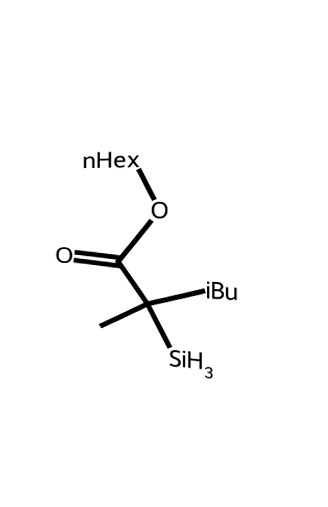 CCCCCCOC(=O)C(C)([SiH3])C(C)CC